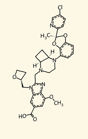 COc1cc(C(=O)O)cc2c1nc(CN1CCN(c3cccc4c3O[C@@](C)(c3ccc(Cl)cn3)O4)[C@@H]3CC[C@@H]31)n2C[C@@H]1CCO1